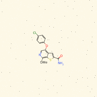 COc1ncc(Oc2ccc(Cl)cc2)c2cc(C(N)=O)sc12